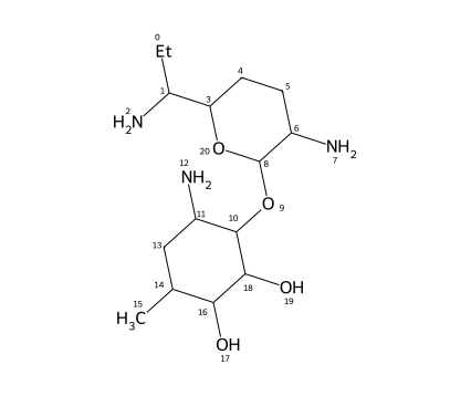 CCC(N)C1CCC(N)C(OC2C(N)CC(C)C(O)C2O)O1